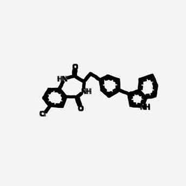 O=C1NC(Cc2ccc(-c3c[nH]c4ccccc34)cc2)C(=O)Nc2ccc(Cl)cc21